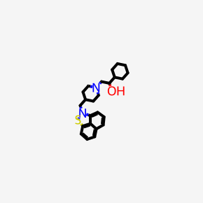 OC(CN1CCC(CN2Sc3cccc4cccc2c34)CC1)C1CCCCC1